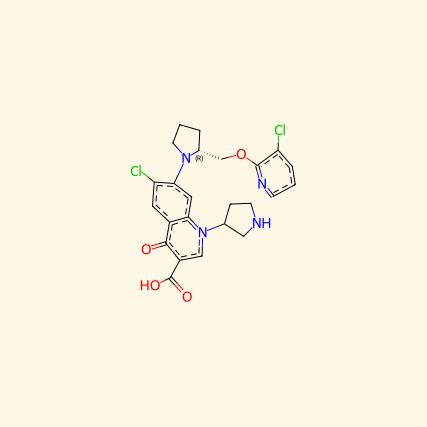 O=C(O)c1cn(C2CCNC2)c2cc(N3CCC[C@@H]3COc3ncccc3Cl)c(Cl)cc2c1=O